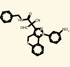 N#CC(C=O)(C(=O)NCc1ccccc1)c1nn(-c2cccc([N+](=O)[O-])c2)c2c1CSc1ccccc1-2